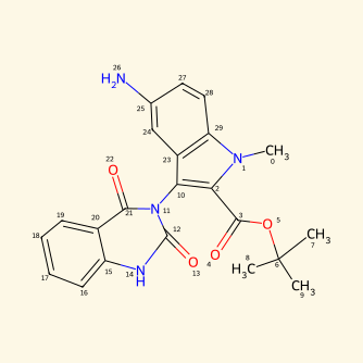 Cn1c(C(=O)OC(C)(C)C)c(-n2c(=O)[nH]c3ccccc3c2=O)c2cc(N)ccc21